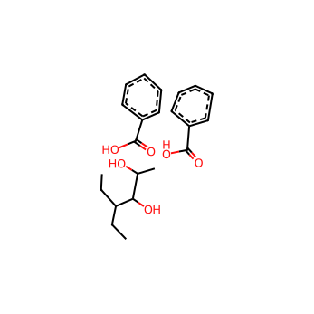 CCC(CC)C(O)C(C)O.O=C(O)c1ccccc1.O=C(O)c1ccccc1